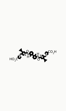 Cc1c(NC(=O)c2cc(C3CC3)c(CN3CC[C@@H](C(=O)O)C3)cn2)cccc1-c1cccc(NC(=O)c2cc(C3CC3)c(CN3CC[C@@H](C(=O)O)C3)cn2)c1C